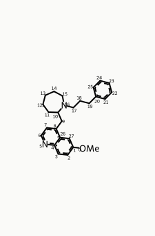 COc1ccc2nccc(CC3C[CH]CCCN3CCCc3ccccc3)c2c1